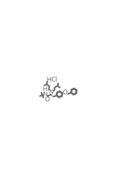 CC(C)CCN(CCC(C)C)[C@@H](Cc1ccc(OCc2ccccc2)cc1)C(=O)NC(C)(C)C.Cl